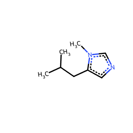 CC(C)Cc1cncn1C